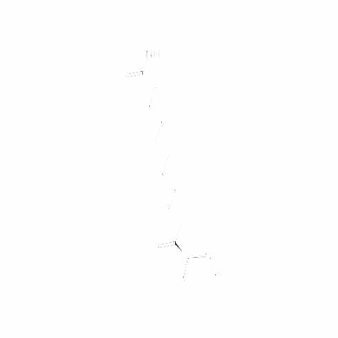 NC(=O)CCCCCCCCCC(=O)[C@@H]1CCCN1